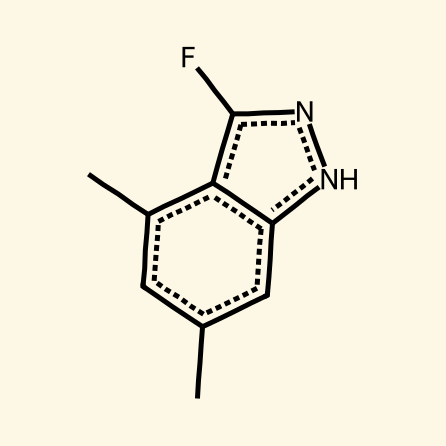 Cc1cc(C)c2c(F)n[nH]c2c1